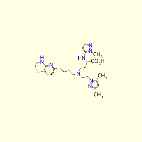 Cc1cc(C)n(CCN(CCCCc2ccc3c(n2)NCCC3)CCC(Nc2ccnn2C)C(=O)O)n1